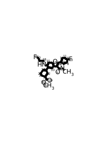 CNC(=O)c1c(-c2ccc(F)cc2)oc2cc(NCCCF)c(-c3cccc(C(=O)OC)c3)cc12